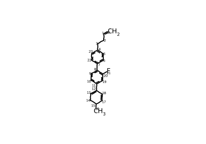 C=CCCc1ccc(-c2ccc(C3=CCC(C)C=C3)cc2F)cc1